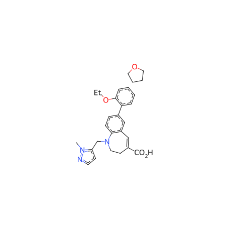 C1CCOC1.CCOc1ccccc1-c1ccc2c(c1)C=C(C(=O)O)CCN2Cc1ccnn1C